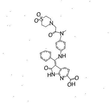 CN(C(=O)CN1CCS(=O)(=O)CC1)c1ccc(NC(=C2C(=O)Nc3nc(C(=O)O)ccc32)c2ccccc2)cc1